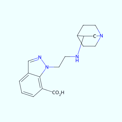 O=C(O)c1cccc2cnn(CCNC3CN4CCC3CC4)c12